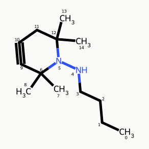 CCCCNN1C(C)(C)C#CCC1(C)C